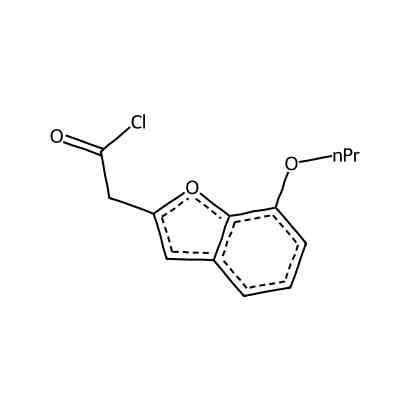 CCCOc1cccc2cc(CC(=O)Cl)oc12